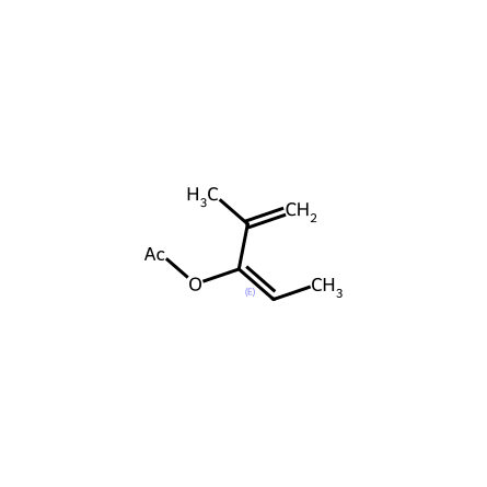 C=C(C)/C(=C\C)OC(C)=O